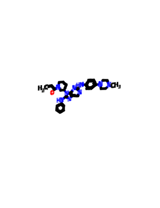 C=CC(=O)N1CCCC(n2c(Nc3ccccc3)nc3cnc(Nc4ccc(N5CCN(C)CC5)cc4)nc32)C1